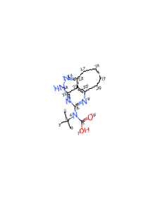 CC(C)(C)N(C(=O)O)c1nc2c3c(n[nH]c3n1)CCCC2